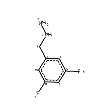 NPCc1cc(F)cc(F)c1